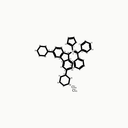 C1=CC[C]([Ti+2](=[C](c2ccccc2)c2ccccc2)[CH]2c3ccc(C4CCCCC4)cc3-c3cc(C4CCCCC4)ccc32)=C1.[Cl-].[Cl-]